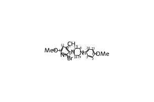 COc1ccc(N2CCN(c3c(C)cc(OC)nc3Br)CC2)cc1